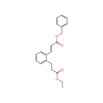 CCOC(=O)CCc1ccccc1/C=C/C(=O)OCc1ccccc1